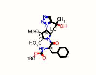 CO[C@@H]1[C@@H](C(=O)O)N(C(=O)[C@@H](CC2CCCCC2)NC(=O)OC(C)(C)C)C[C@H]1n1nncc1C(C)(C)O